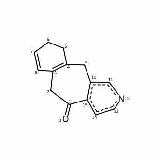 O=C1CC2=C(CCC=C2)Cc2cnccc21